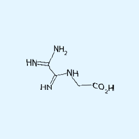 N=C(N)C(=N)NCC(=O)O